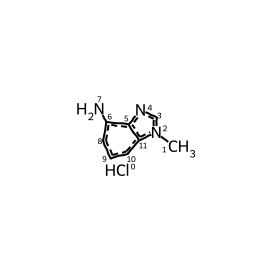 Cl.Cn1cnc2c(N)cccc21